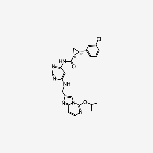 CC(C)Oc1nccc2nc(CNc3cc(NC(=O)[C@H]4C[C@@H]4c4cccc(Cl)c4)ncn3)cn12